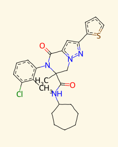 Cc1c(Cl)cccc1N1C(=O)c2cc(-c3cccs3)nn2CC1(C)C(=O)NC1CCCCCC1